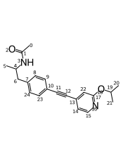 CC(=O)NC(C)Cc1ccc(C#Cc2ccnc(OC(C)C)c2)cc1